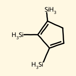 [SiH3]C1=CCC([SiH3])=C1[SiH3]